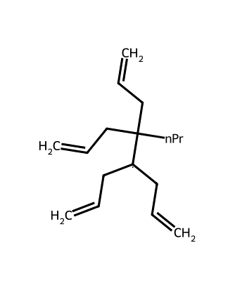 C=CC[C](CC=C)C(CC=C)(CC=C)CCC